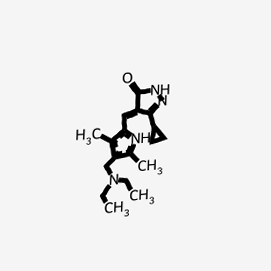 CCN(CC)Cc1c(C)[nH]c(C=C2C(=O)NN=C2C2CC2)c1C